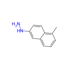 Cc1cccc2cc(NN)ccc12